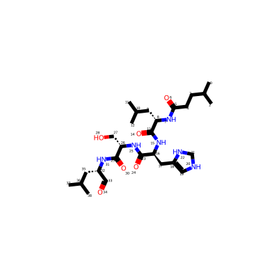 CC(C)CCC(=O)N[C@@H](CC(C)C)C(=O)N[C@@H](CC1=CNCN1)C(=O)N[C@@H](CO)C(=O)N[C@H](C=O)CC(C)C